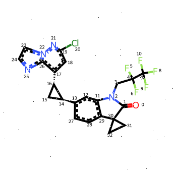 O=C1N(CC(F)(F)C(F)(F)F)c2cc([C@H]3C[C@@H]3c3cc(Cl)nn4ccnc34)ccc2C12CC2